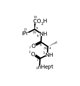 CCCCCCCC(=O)N[C@@H](C)C(=O)N[C@H](C(=O)O)C(C)C